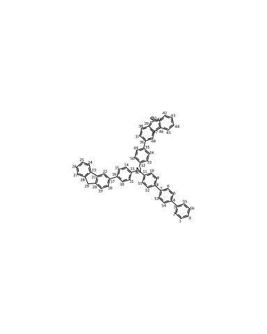 c1ccc(-c2ccc(-c3ccc(N(c4ccc(-c5ccc6c(c5)-c5ccccc5C6)cc4)c4ccc(-c5ccc6sc7ccccc7c6c5)cc4)cc3)cc2)cc1